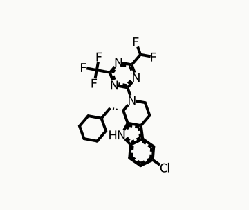 FC(F)c1nc(N2CCc3c([nH]c4ccc(Cl)cc34)[C@@H]2CC2CCCCC2)nc(C(F)(F)F)n1